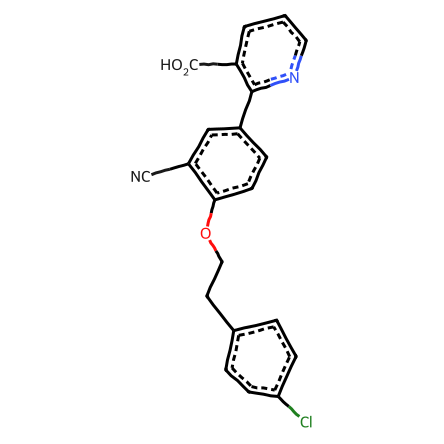 N#Cc1cc(-c2ncccc2C(=O)O)ccc1OCCc1ccc(Cl)cc1